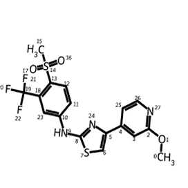 COc1cc(-c2csc(Nc3ccc(S(C)(=O)=O)c(C(F)(F)F)c3)n2)ccn1